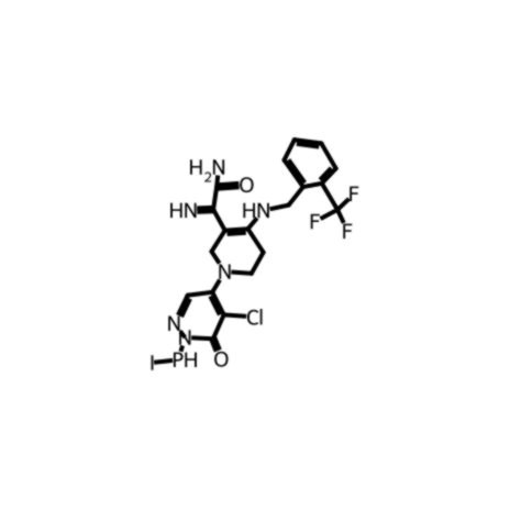 N=C(C(N)=O)C1=C(NCc2ccccc2C(F)(F)F)CCN(c2cnn(PI)c(=O)c2Cl)C1